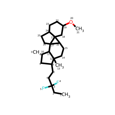 C.CCC(F)(F)CCC1CCC2C1(C)CCC1C34CC(OC)CCC3CCC214